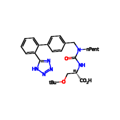 CCCCCN(Cc1ccc(-c2ccccc2-c2nnn[nH]2)cc1)C(=O)N[C@@H](COC(C)(C)C)C(=O)O